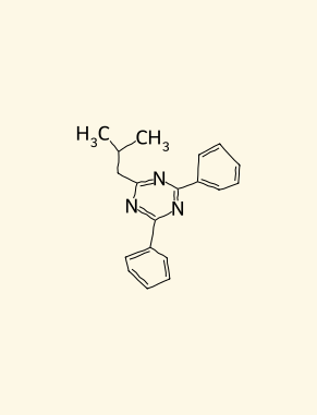 CC(C)Cc1nc(-c2ccccc2)nc(-c2ccccc2)n1